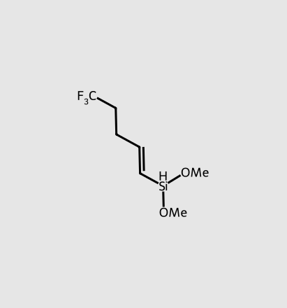 CO[SiH](C=CCCC(F)(F)F)OC